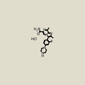 Cc1nc2c(C)nc(C(N)=O)cn2c1-c1ccc(N2CCNCC2)cc1F.Cl